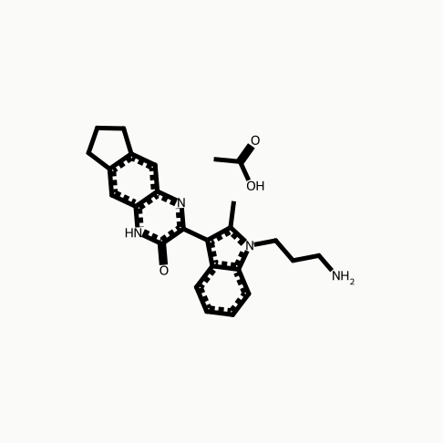 CC(=O)O.Cc1c(-c2nc3cc4c(cc3[nH]c2=O)CCC4)c2ccccc2n1CCCN